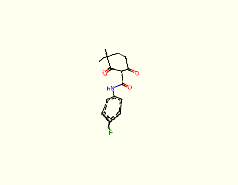 CC1(C)CCC(=O)C(C(=O)Nc2ccc(F)cc2)C1=O